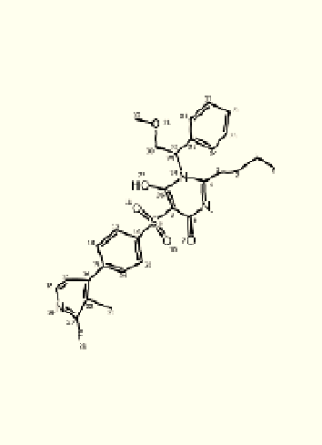 CCCCc1nc(=O)c(S(=O)(=O)c2ccc(-c3ccnc(F)c3C)cc2)c(O)n1[C@@H](COC)c1ccccc1